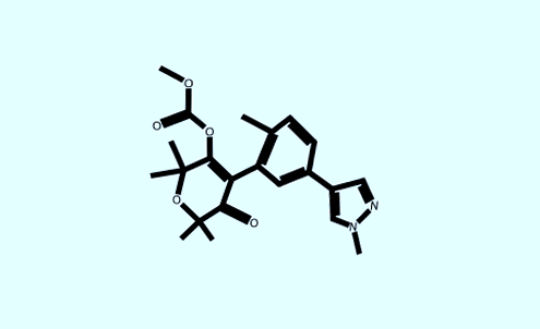 COC(=O)OC1=C(c2cc(-c3cnn(C)c3)ccc2C)C(=O)C(C)(C)OC1(C)C